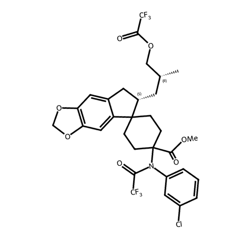 COC(=O)C1(N(C(=O)C(F)(F)F)c2cccc(Cl)c2)CCC2(CC1)c1cc3c(cc1C[C@@H]2C[C@@H](C)COC(=O)C(F)(F)F)OCO3